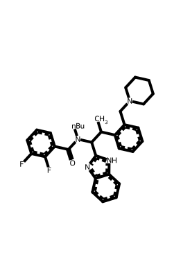 CCCCN(C(=O)c1cccc(F)c1F)C(c1nc2ccccc2[nH]1)C(C)c1ccccc1CN1CCCCC1